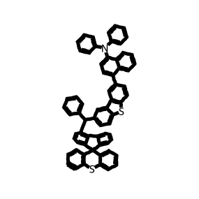 c1ccc2c(c#1)Sc1ccccc1C21c2ccccc2-c2c(C(c3ccccc3)c3ccc4sc5ccc(-c6ccc(N(c7ccccc7)c7ccccc7)c7ccccc67)cc5c4c3)cccc21